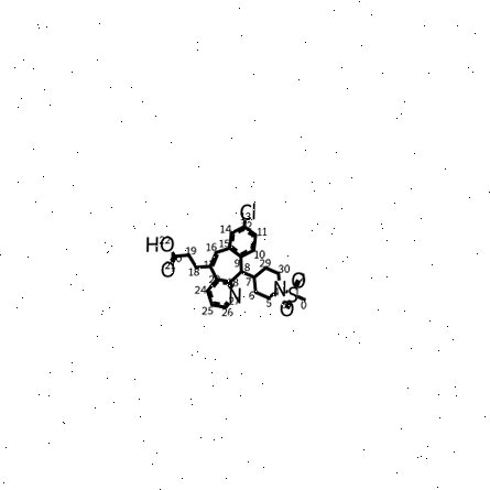 CS(=O)(=O)N1CCC(C2c3ccc(Cl)cc3C=C(CCC(=O)O)c3cccnc32)CC1